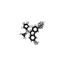 Brc1ccc2c(c1)-c1cc(Br)ccc1[CH]2[Zr+2]([C]1=CC=CC1)=[C]1CC1.[Cl-].[Cl-]